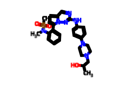 CC(O)CN1CCN(c2ccc(Nc3ncc4ccc(-c5ccccc5N(C)S(C)(=O)=O)n4n3)cc2)CC1